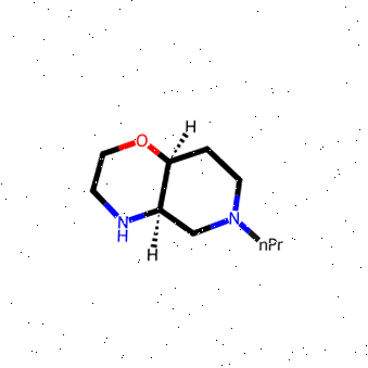 CCCN1CC[C@@H]2OCCN[C@@H]2C1